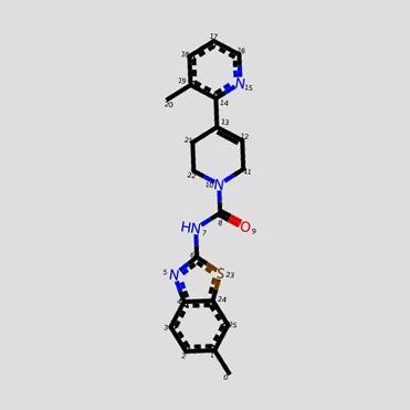 Cc1ccc2nc(NC(=O)N3CC=C(c4ncccc4C)CC3)sc2c1